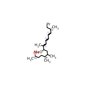 COC(CC(C)[C@H](C)CC[C@H](C)O)/C(C)=C/C=C/C=C/[C@@H](C)CC(C)C